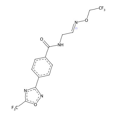 O=C(NC/C=N/OCC(F)(F)F)c1ccc(-c2noc(C(F)(F)F)n2)cc1